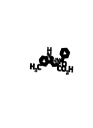 Cc1ccc2[nH]cc(C[C@H](NC(=O)c3ccccc3)C(=O)O)c2c1